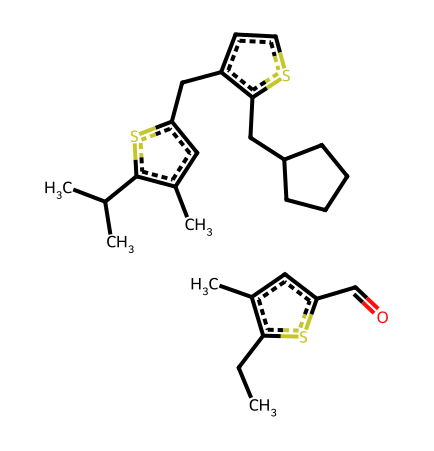 CCc1sc(C=O)cc1C.Cc1cc(Cc2ccsc2CC2CCCC2)sc1C(C)C